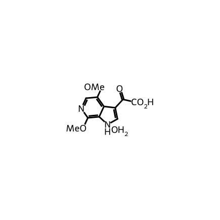 COc1ncc(OC)c2c(C(=O)C(=O)O)c[nH]c12.O